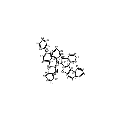 c1ccc2ccc3sc4c(c3c2c#1)C1=C(C=CCC1)C1c2ccccc2N(c2nc3ccccc3nc2-c2ccc(-c3ccccc3)cc2)C41